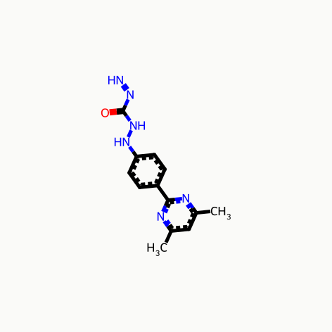 Cc1cc(C)nc(-c2ccc(NNC(=O)N=N)cc2)n1